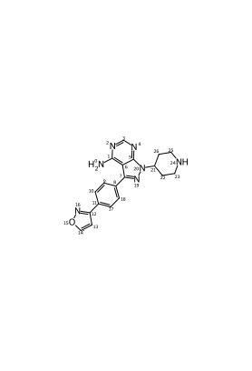 Nc1ncnc2c1c(-c1ccc(-c3c[c]on3)cc1)nn2C1CCNCC1